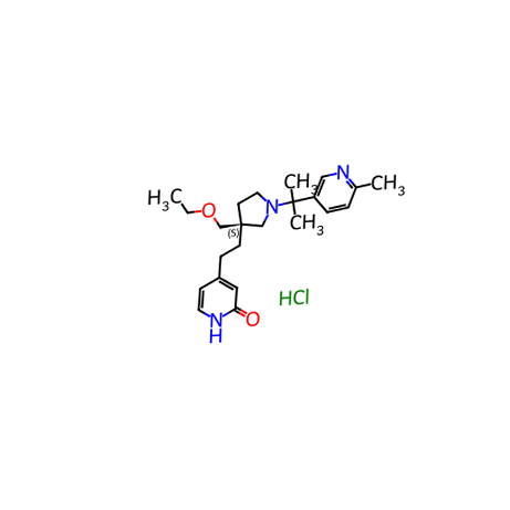 CCOC[C@@]1(CCc2cc[nH]c(=O)c2)CCN(C(C)(C)c2ccc(C)nc2)C1.Cl